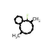 C=c1ccccc(=C)c(F)c2ccccc2c1